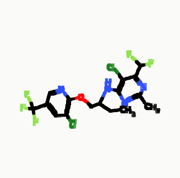 CCC(COc1ncc(C(F)(F)F)cc1Cl)Nc1nc(C)nc(C(F)F)c1Cl